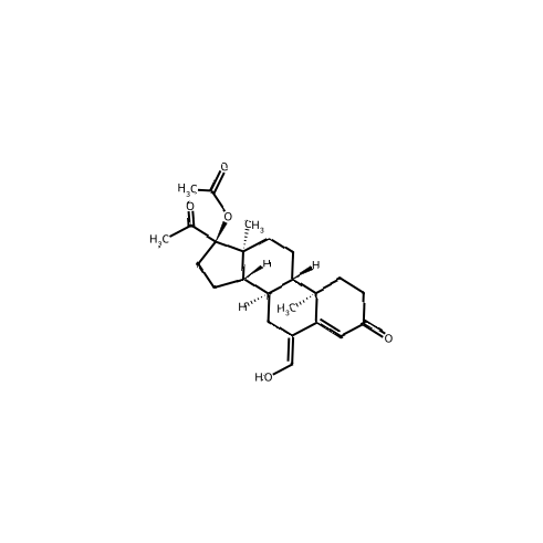 CC(=O)O[C@]1(C(C)=O)CC[C@H]2[C@@H]3CC(=CO)C4=CC(=O)CC[C@]4(C)[C@H]3CC[C@@]21C